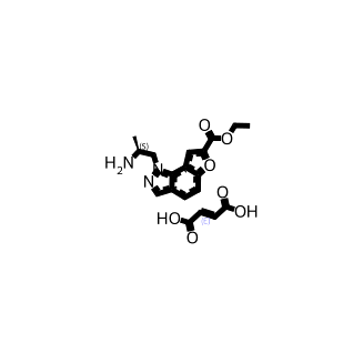 CCOC(=O)c1cc2c(ccc3cnn(C[C@H](C)N)c32)o1.O=C(O)/C=C/C(=O)O